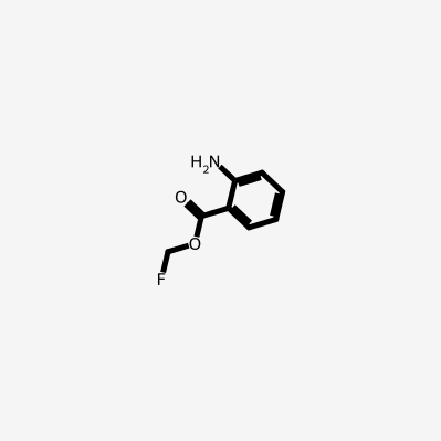 Nc1ccccc1C(=O)OCF